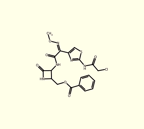 CO/N=C(\C(=O)NC1C(=O)NC1COC(=O)c1ccccc1)c1csc(NC(=O)CCl)n1